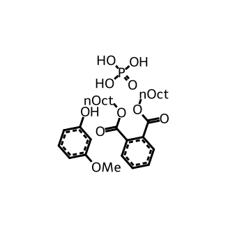 CCCCCCCCOC(=O)c1ccccc1C(=O)OCCCCCCCC.COc1cccc(O)c1.O=P(O)(O)O